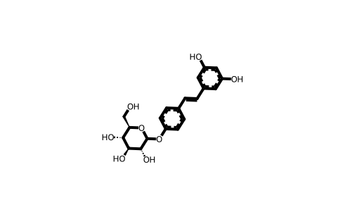 OC[C@H]1OC(Oc2ccc(C=Cc3cc(O)cc(O)c3)cc2)[C@H](O)[C@@H](O)[C@@H]1O